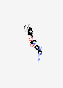 Cn1c2c(c3ccc(-n4ccc(OCc5ccc(C(F)(F)F)cc5)cc4=O)cc31)CNCC2